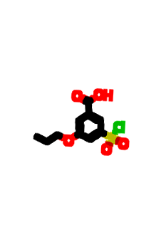 CCCOc1cc(C(=O)O)cc(S(=O)(=O)Cl)c1